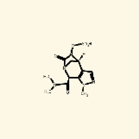 CN(C)C(=O)[C@@H]1c2c(cnn2C)[C@@H]2CN1C(=O)N2OS(=O)(=O)O